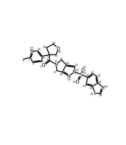 Cc1ccc(C2(C(=O)N3Cc4cn(S(=O)(=O)c5ccc6ncsc6c5)nc4C3)CCOC2)cn1